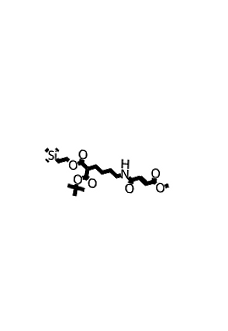 COC(=O)C=CC(=O)NCCCCC(C(=O)OCC[Si](C)(C)C)C(=O)OC(C)(C)C